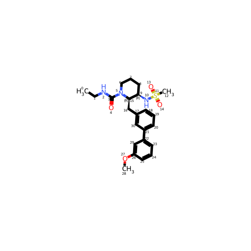 CCNC(=O)N1CCC[C@@H](NS(C)(=O)=O)[C@H]1Cc1cccc(-c2cccc(OC)c2)c1